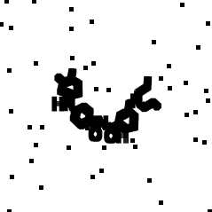 CCCN(CCC)Cc1cccc(C(O)NC(=O)c2ccc(Nc3ccc(C)c(C)c3)cc2)c1